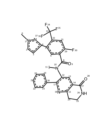 Cn1ccc(-c2cc(C(=O)N(I)c3cc4c(nc3-c3ccccc3)CCNC4=O)c(F)cc2C(F)(F)F)n1